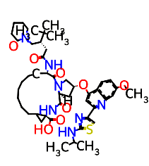 COc1ccc2c(O[C@@H]3C[C@H]4C(=O)N[C@]5(C(=O)O)CC5CCCCCCC[C@H](NC(=O)C[C@H](CN5CCCCC5=O)C(C)(C)C)C(=O)N4C3)cc(-c3csc(NC(C)C)n3)nc2c1